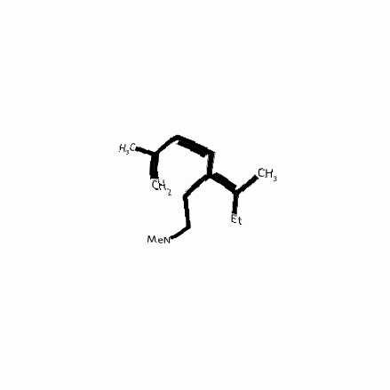 C=C(C)/C=C\C(CCNC)=C(/C)CC